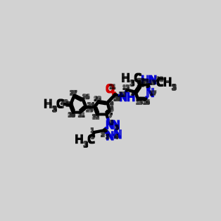 CCc1nnnn1-c1cc(C(=O)NCc2ccnc(NC)c2C)cc(-c2ccc(C)cc2)c1